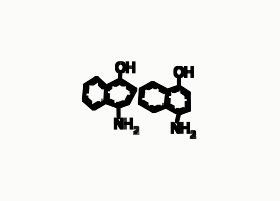 Nc1ccc(O)c2ccccc12.Nc1ccc(O)c2ccccc12